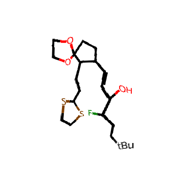 CC(C)(C)CCC(F)C(O)C=CC1CCC2(OCCO2)C1CCC1SCCS1